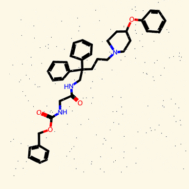 O=C(CNC(=O)OCc1ccccc1)NCC(CCCN1CCC(Oc2ccccc2)CC1)(c1ccccc1)c1ccccc1